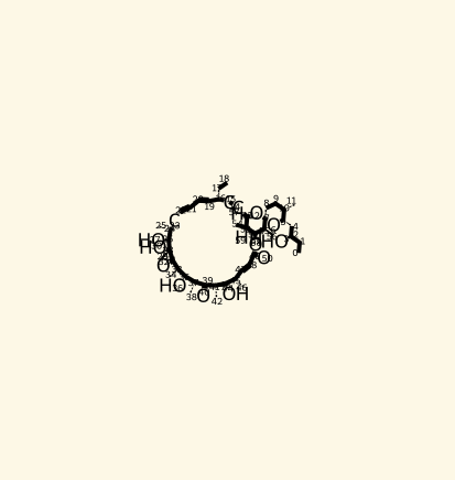 CC[C@@H](O)C[C@@H]1O[C@]2(CC[C@@H]1C)O[C@H]1CC[C@@H](CC)/C=C/C=C/C[C@@H](C)[C@H](O)[C@@](C)(O)C(=O)[C@@H](C)[C@H](O)[C@@H](C)C(=O)[C@@H](C)[C@H](O)[C@@H](C)/C=C/C(=O)O[C@H]([C@@H]1C)[C@@H]2C